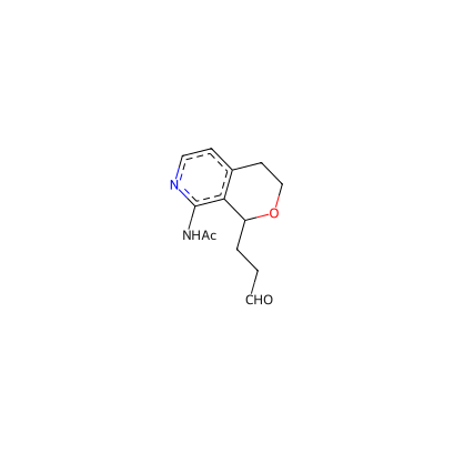 CC(=O)Nc1nccc2c1C(CCC=O)OCC2